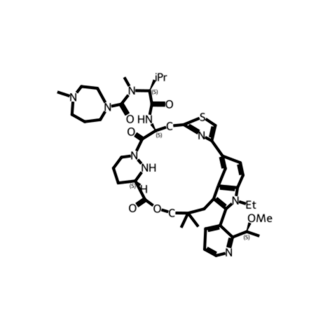 CCn1c(-c2cccnc2[C@H](C)OC)c2c3cc(ccc31)-c1csc(n1)C[C@H](NC(=O)[C@H](C(C)C)N(C)C(=O)N1CCCN(C)CC1)C(=O)N1CCC[C@H](N1)C(=O)OCC(C)(C)C2